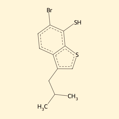 CC(C)Cc1csc2c(S)c(Br)ccc12